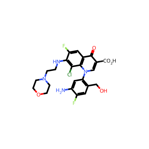 Nc1cc(-n2cc(C(=O)O)c(=O)c3cc(F)c(NCCN4CCOCC4)c(Cl)c32)c(CO)cc1F